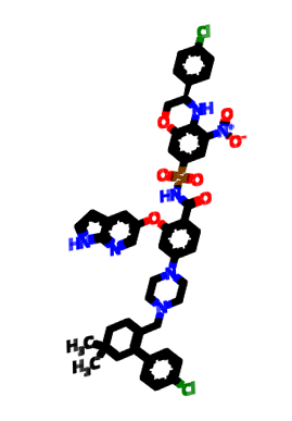 CC1(C)CCC(CN2CCN(c3ccc(C(=O)NS(=O)(=O)c4cc5c(c([N+](=O)[O-])c4)N[C@H](c4ccc(Cl)cc4)CO5)c(Oc4cnc5[nH]ccc5c4)c3)CC2)=C(c2ccc(Cl)cc2)C1